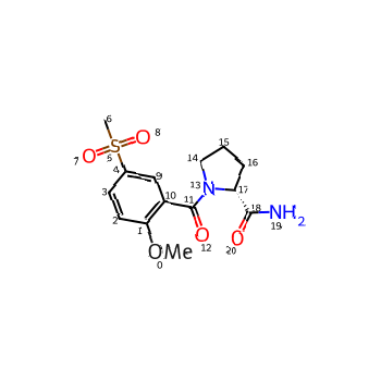 COc1ccc(S(C)(=O)=O)cc1C(=O)N1CCC[C@@H]1C(N)=O